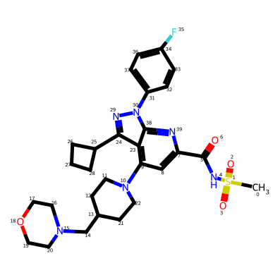 CS(=O)(=O)NC(=O)c1cc(N2CCC(CN3CCOCC3)CC2)c2c(C3CCC3)nn(-c3ccc(F)cc3)c2n1